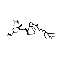 C=C1C(=CC=C2CCCC3(C)C2CCC3C(C)C=CC=CC(O)(CC)CC)CC(O)CC1O